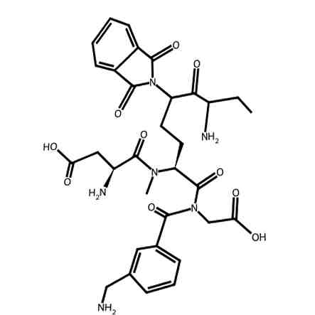 CCC(N)C(=O)C(CC[C@@H](C(=O)N(CC(=O)O)C(=O)c1cccc(CN)c1)N(C)C(=O)[C@@H](N)CC(=O)O)N1C(=O)c2ccccc2C1=O